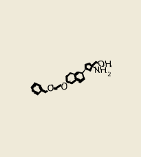 N[C@]1(CO)CC[C@H](C2C=C3CC[C@H](OCCOCc4ccccc4)CC3=CC2)C1